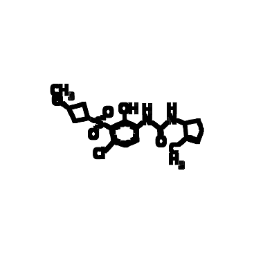 CO[C@H]1C[C@@H](S(=O)(=O)c2c(Cl)ccc(NC(=O)NC3CCC=C3C)c2O)C1